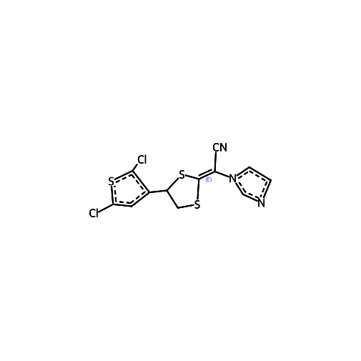 N#C/C(=C1/SCC(c2cc(Cl)sc2Cl)S1)n1ccnc1